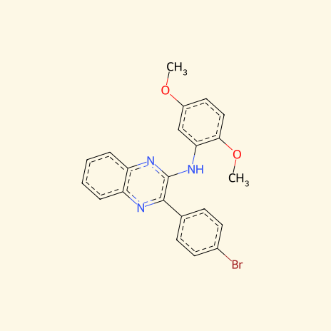 COc1ccc(OC)c(Nc2nc3ccccc3nc2-c2ccc(Br)cc2)c1